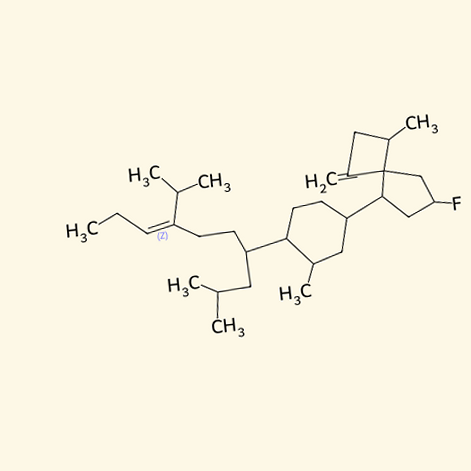 C=C1CC(C)C12CC(F)CC2C1CCC(C(CC/C(=C/CC)C(C)C)CC(C)C)C(C)C1